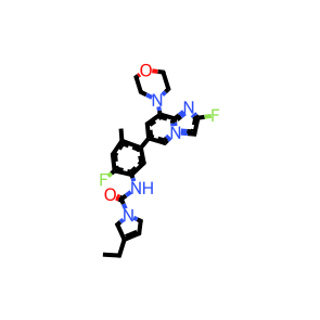 CCC1=CCN(C(=O)Nc2cc(-c3cc(N4CCOCC4)c4nc(F)cn4c3)c(C)cc2F)C1